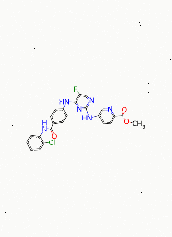 COC(=O)c1ccc(Nc2ncc(F)c(Nc3ccc(C(=O)Nc4ccccc4Cl)cc3)n2)cn1